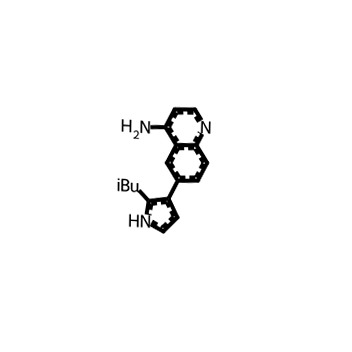 CCC(C)c1[nH]ccc1-c1ccc2nccc(N)c2c1